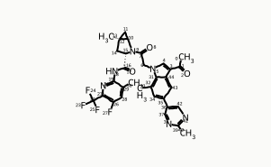 CC(=O)c1cn(CC(=O)N2C3C[C@]3(C)C[C@H]2C(=O)Nc2nc(C(F)(F)F)c(F)cc2C)c2c(C)cc(-c3cnc(C)nc3)cc12